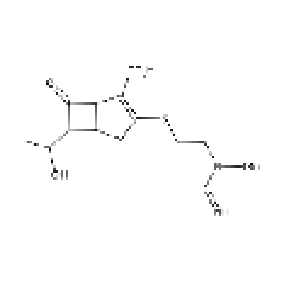 CC(O)C1C(=O)C2C(C(=O)O)=C(SCCN(C=N)C(C)(C)C)CC21